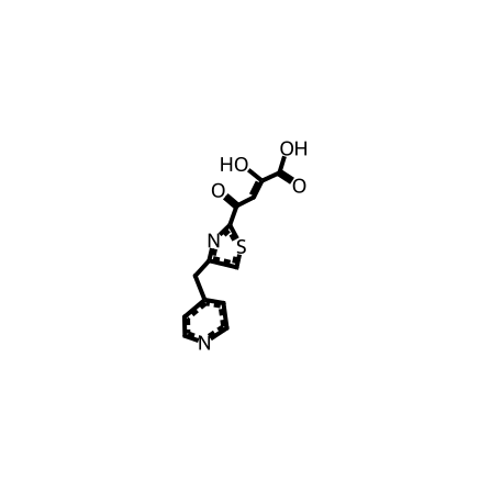 O=C(O)C(O)=CC(=O)c1nc(Cc2ccncc2)cs1